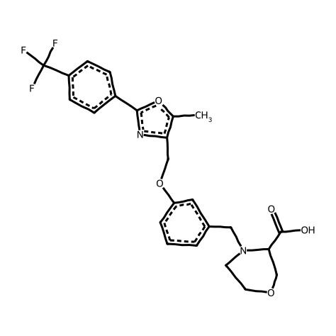 Cc1oc(-c2ccc(C(F)(F)F)cc2)nc1COc1cccc(CN2CCOCC2C(=O)O)c1